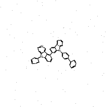 c1ccc(-c2ccc(-n3c4ccccc4c4ccc(-c5cccc6c5c5cnccc5n6-c5ccccc5)cc43)cc2)cc1